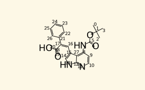 CC(C)(C)OC(=O)Nc1ccnc2[nH]cc(C=C(C(=O)O)c3ccccc3)c12